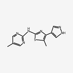 Cc1cnc(Nc2nc(-c3cn[nH]c3)c(C)s2)nc1